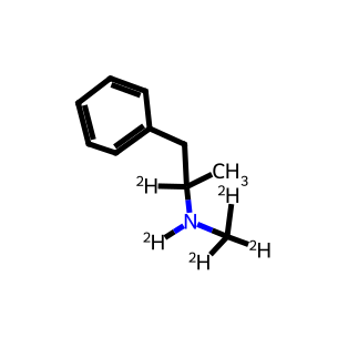 [2H]N(C([2H])([2H])[2H])C([2H])(C)Cc1ccccc1